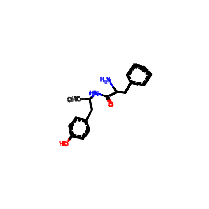 NC(Cc1ccccc1)C(=O)NC(C=O)Cc1ccc(O)cc1